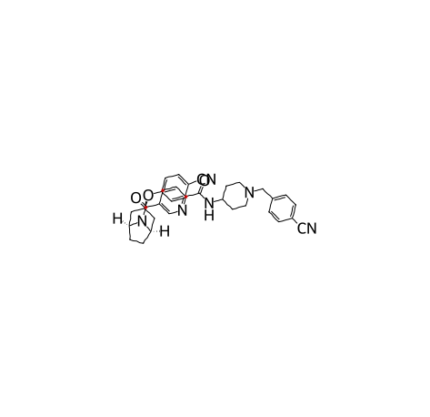 N#Cc1ccc(CN2CCC(NC(=O)c3ccc(C(=O)N4[C@@H]5CC[C@H]4C[C@@H](Oc4ccc(C#N)cc4)C5)cn3)CC2)cc1